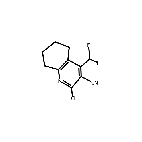 N#Cc1c(Cl)nc2c(c1C(F)F)CCCC2